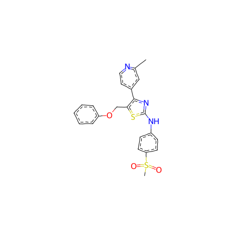 Cc1cc(-c2nc(Nc3ccc(S(C)(=O)=O)cc3)sc2COc2ccccc2)ccn1